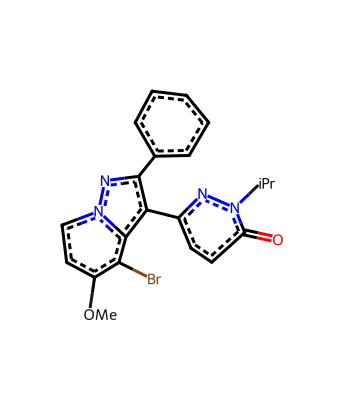 COc1ccn2nc(-c3ccccc3)c(-c3ccc(=O)n(C(C)C)n3)c2c1Br